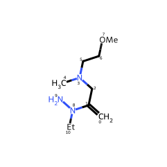 C=C(CN(C)CCOC)N(N)CC